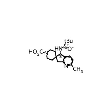 Cc1ccc2c(n1)CC1(CCN(C(=O)O)CC1)[C@@H]2N[S@+]([O-])C(C)(C)C